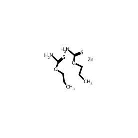 CCCOC(N)=S.CCCOC(N)=S.[Zn]